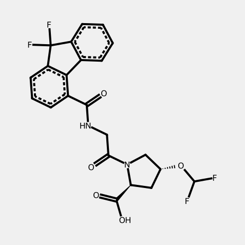 O=C(NCC(=O)N1C[C@H](OC(F)F)C[C@H]1C(=O)O)c1cccc2c1-c1ccccc1C2(F)F